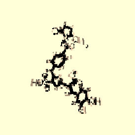 C=C1CCC(=O)N1OC(=O)c1ccc(Cc2sc(-c3cc4cc(Cl)c(O)cc4oc3=O)cc2S(=O)(=O)O)cc1